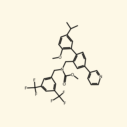 COC(=O)N(Cc1cc(C(F)(F)F)cc(C(F)(F)F)c1)Cc1cc(-c2cccnc2)ccc1-c1cc(C(C)C)ccc1OC